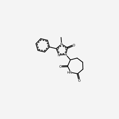 Cn1c(-c2ccccc2)nn(C2CCCC(=O)NC2=O)c1=O